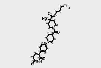 CCCCOC(=O)C1(C)CCN(C(=O)C2CCN(c3ccc(C4CCC(=O)NC4=O)cc3)CC2)CC1